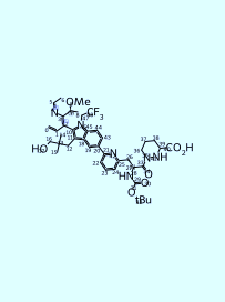 C=C/C(=C(\N=C/C)[C@H](C)OC)c1c(CC(C)(C)CO)c2cc(-c3cccc(C[C@H](NC(=O)OC(C)(C)C)C(=O)N4CCCC(C(=O)O)N4)n3)ccc2n1CC(F)(F)F